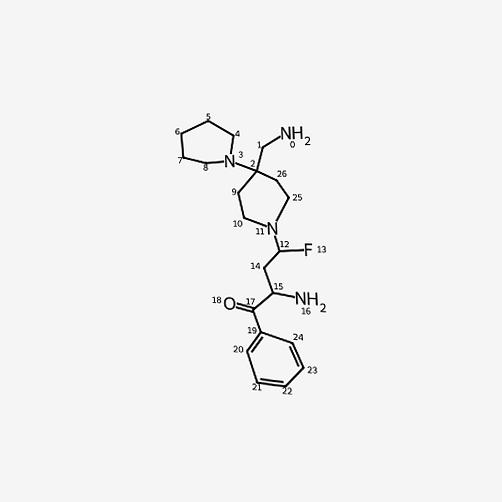 NCC1(N2CCCCC2)CCN(C(F)CC(N)C(=O)c2ccccc2)CC1